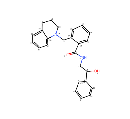 O=C(NCC(O)c1ccccc1)c1ccccc1CN1CCCc2ccccc21